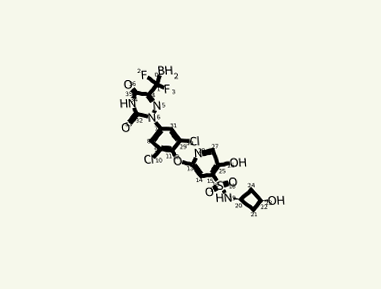 BC(F)(F)c1nn(-c2cc(Cl)c(Oc3cc(S(=O)(=O)N[C@H]4C[C@@H](O)C4)c(O)cn3)c(Cl)c2)c(=O)[nH]c1=O